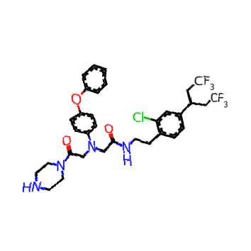 O=C(CN(CC(=O)N1CCNCC1)c1ccc(Oc2ccccc2)cc1)NCCc1ccc(C(CC(F)(F)F)CC(F)(F)F)cc1Cl